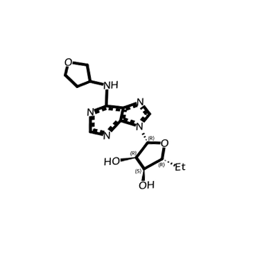 CC[C@H]1O[C@@H](n2cnc3c(NC4CCOC4)ncnc32)[C@H](O)[C@@H]1O